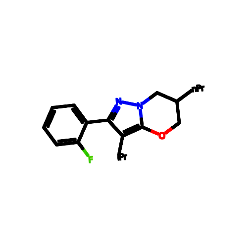 CCCC1COc2c(C(C)C)c(-c3ccccc3F)nn2C1